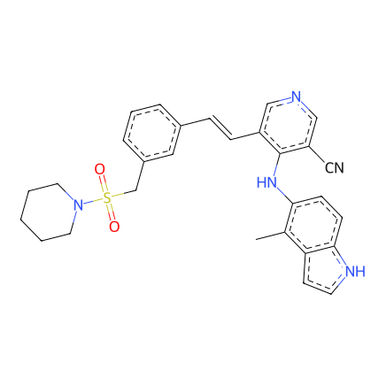 Cc1c(Nc2c(C#N)cncc2C=Cc2cccc(CS(=O)(=O)N3CCCCC3)c2)ccc2[nH]ccc12